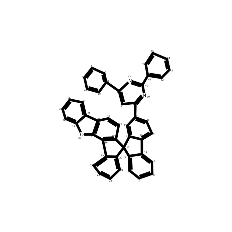 c1ccc(-c2cc(-c3ccc4c(c3)C3(c5ccccc5-4)c4ccccc4-c4c3ccc3c4oc4ccccc43)nc(-c3ccccc3)n2)cc1